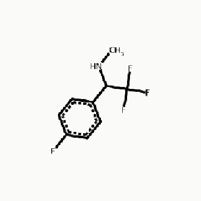 CNC(c1ccc(F)cc1)C(F)(F)F